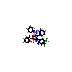 Cc1ccccc1OCc1nc2cc(F)c(F)cc2n1C(C(=O)NC1CCCCC1)C1CCCCC1